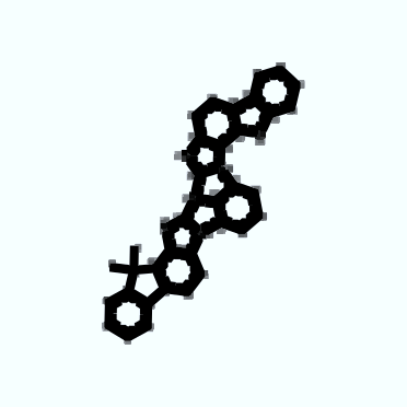 CC1(C)c2ccccc2-c2ccc3c(nc4n3c3cccc5c3n4c3nc4ccc6c7ccccc7oc6c4n53)c21